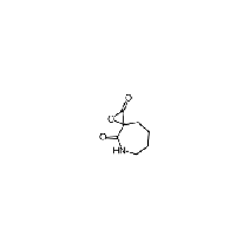 O=C1NCCCCC12OC2=O